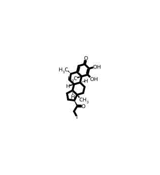 C[C@H]1C[C@@H]2[C@H](CC[C@]3(C)[C@@H](C(=O)CI)CC[C@@H]23)[C@]2(C)C1=CC(=O)C(O)=C2O